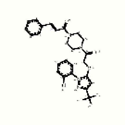 O=C(/C=C/c1ccccc1)N1CCN(C(=O)COc2cc(C(F)(F)F)nn2-c2ccccc2Cl)CC1